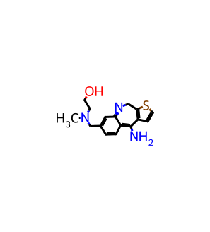 CN(CCO)Cc1ccc2c(c1)=NCc1sccc1C=2N